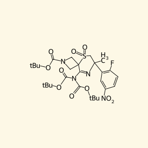 CC(C)(C)OC(=O)N1CC2(C1)C(N(C(=O)OC(C)(C)C)C(=O)OC(C)(C)C)=NC(C)(c1cc([N+](=O)[O-])ccc1F)CS2(=O)=O